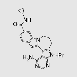 CC(C)n1c2c(c3c(N)ncnc31)-c1cc3ccc(C(=O)NC4CC4)cc3n1CCC2